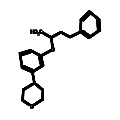 O=C(O)C(CCc1ccccc1)Oc1cccc(N2CCOCC2)c1